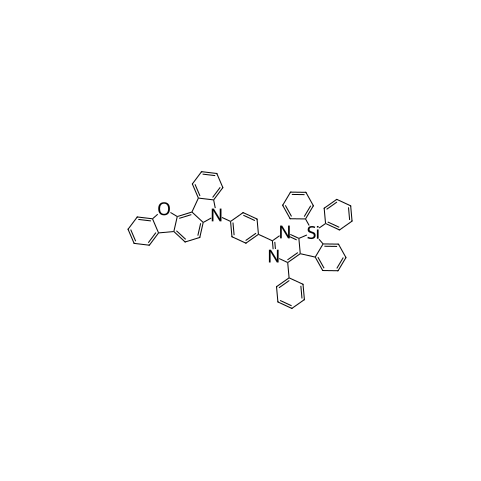 c1ccc(-c2nc(-c3ccc(-n4c5ccccc5c5c6oc7ccccc7c6ccc54)cc3)nc3c2-c2ccccc2[Si]3(c2ccccc2)c2ccccc2)cc1